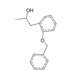 [CH2]C(O)Cc1ccccc1OCc1ccccc1